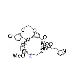 CO[C@H]1/C=C/CCCS(=O)(NC(=O)CCc2cccnc2)=NC(=O)c2ccc3c(c2)N(Cc2ccc(Cl)cc2CCCCO3)C[C@@H]2CC[C@H]21